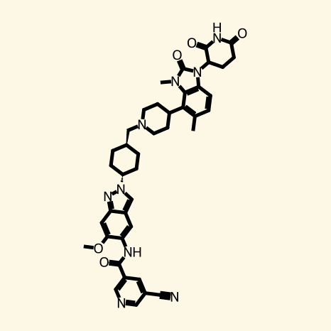 COc1cc2nn([C@H]3CC[C@H](CN4CCC(c5c(C)ccc6c5n(C)c(=O)n6C5CCC(=O)NC5=O)CC4)CC3)cc2cc1NC(=O)c1cncc(C#N)c1